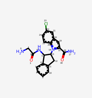 NCC(=O)NC1c2ccccc2CC1n1c(C(N)=O)cc2cc(Cl)ccc21